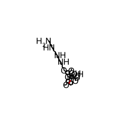 COC(=O)[C@H]1[C@@H](O)[C@@]2(O)c3c(OC)cc(OCCCCNCCCNCCCCNCCCN)cc3O[C@@]2(c2ccc(OC)cc2)[C@@H]1c1ccccc1